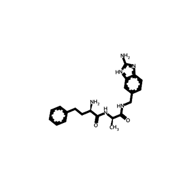 C[C@@H](NC(=O)[C@H](N)CCc1ccccc1)C(=O)NCc1ccc2nc(N)[nH]c2c1